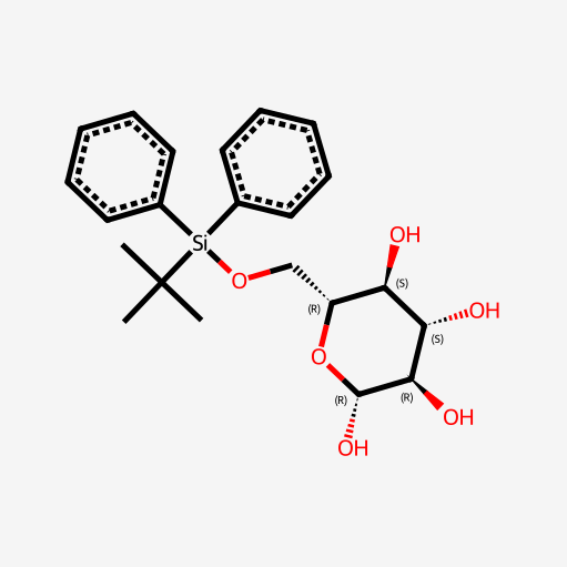 CC(C)(C)[Si](OC[C@H]1O[C@@H](O)[C@H](O)[C@@H](O)[C@@H]1O)(c1ccccc1)c1ccccc1